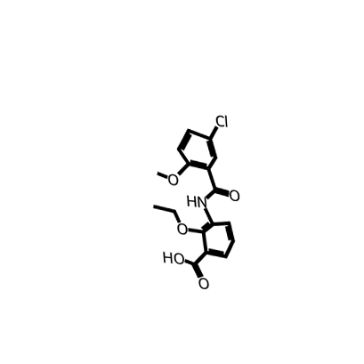 CCOc1c(NC(=O)c2cc(Cl)ccc2OC)cccc1C(=O)O